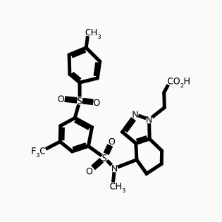 Cc1ccc(S(=O)(=O)c2cc(C(F)(F)F)cc(S(=O)(=O)N(C)C3CCCc4c3cnn4CCC(=O)O)c2)cc1